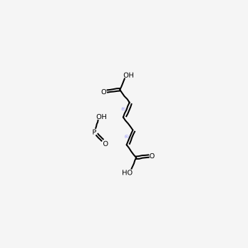 O=C(O)/C=C/C=C/C(=O)O.O=PO